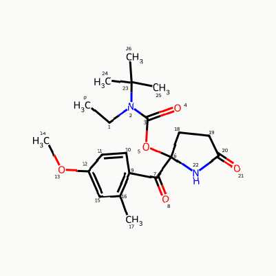 CCN(C(=O)OC1(C(=O)c2ccc(OC)cc2C)CCC(=O)N1)C(C)(C)C